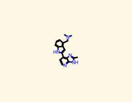 Cc1nc2c(-c3cc4c(CN(C)C)cccc4[nH]3)ccnc2[nH]1